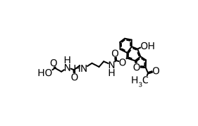 CC(=O)c1cc2c(O)c3ccccc3c(OC(=O)NCCCNCC(=O)NCC(=O)O)c2o1